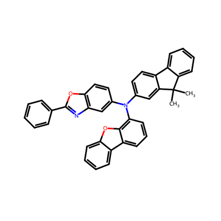 CC1(C)c2ccccc2-c2ccc(N(c3ccc4oc(-c5ccccc5)nc4c3)c3cccc4c3oc3ccccc34)cc21